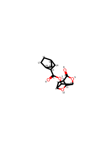 O=C(OC1C2CC3C(=O)OC1C3O2)C1CC2CCC1C2